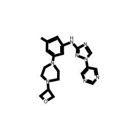 Cc1cc(Nc2ncn(-c3cncnc3)n2)cc(N2CCN(C3COC3)CC2)c1